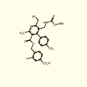 Cc1ccc(-c2c(CNC(=O)OC(C)(C)C)c(CC(C)C)nc(C)c2C(=O)OCc2ccc(C(=O)O)cc2F)cc1